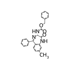 Cc1ccc2c(c1)NC(=O)[C@@H](NC(=O)OCc1ccccc1)N=C2c1ccccc1